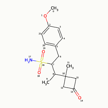 COc1ccc(CC(C(C)C2(C)CC(=O)C2)S(N)(=O)=O)cc1